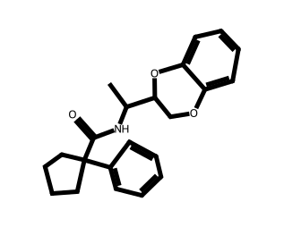 CC(NC(=O)C1(c2ccccc2)CCCC1)C1COc2ccccc2O1